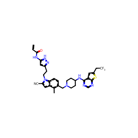 C=CC(=O)Nc1cc(CCn2c(C#N)cc3c(C)c(CN4CCC(Nc5ncnc6sc(CC(F)(F)F)cc56)CC4)ccc32)n[nH]1